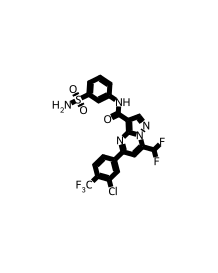 NS(=O)(=O)c1cccc(NC(=O)c2cnn3c(C(F)F)cc(-c4ccc(C(F)(F)F)c(Cl)c4)nc23)c1